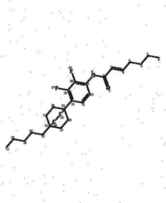 CCCCC=CC(=O)Oc1ccc(C23CCC(CCCCC)(CC2)CC3)c(F)c1F